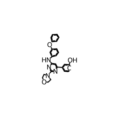 Oc1cccc(-c2cc(Nc3cccc(Oc4ccccc4)c3)nc(N3CCOCC3)n2)c1